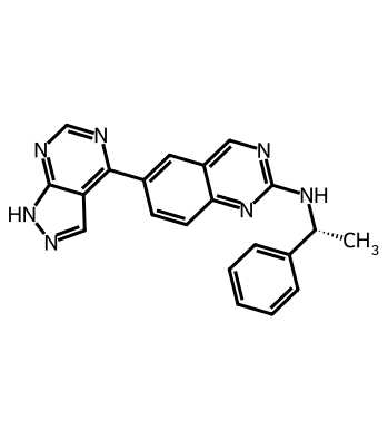 C[C@@H](Nc1ncc2cc(-c3ncnc4[nH]ncc34)ccc2n1)c1ccccc1